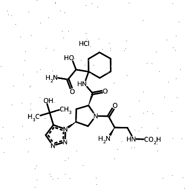 CC(C)(O)c1cnnn1[C@H]1C[C@@H](C(=O)NC2(C(O)C(N)=O)CCCCC2)N(C(=O)[C@H](N)CNC(=O)O)C1.Cl